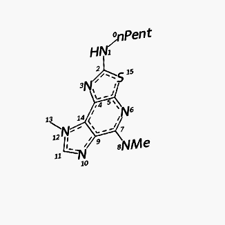 CCCCCNc1nc2c(nc(NC)c3ncn(C)c32)s1